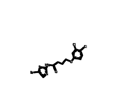 O=C(CCCOc1ccc(Cl)c(Cl)c1)Nc1ncc(Br)s1